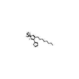 CCCCCCCCC1=CC(=[Si](C)C)[C]=C1C1=CC=CC1